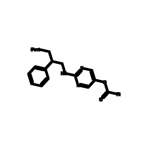 CCCC(C)CC(CNc1ncc(OC(=O)CC)cn1)c1ccccc1